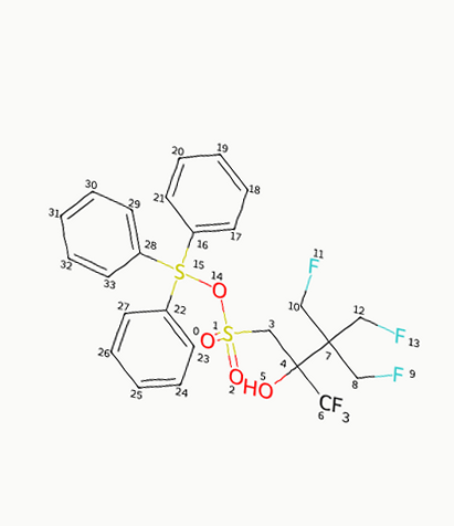 O=S(=O)(CC(O)(C(F)(F)F)C(CF)(CF)CF)OS(c1ccccc1)(c1ccccc1)c1ccccc1